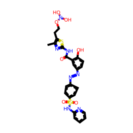 Cc1nc(NC(=O)c2cc(N=Nc3ccc(S(=O)(=O)Nc4ccccn4)cc3)ccc2O)sc1CCON(O)O